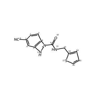 N#Cc1ccc2c(c1)[nH]n2C(=O)NCc1cccs1